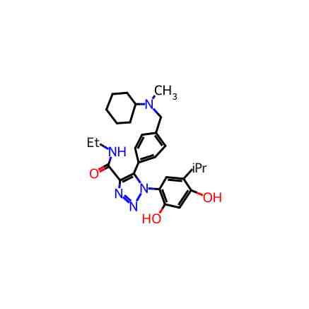 CCNC(=O)c1nnn(-c2cc(C(C)C)c(O)cc2O)c1-c1ccc(CN(C)C2CCCCC2)cc1